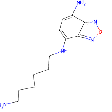 NCCCCCCNc1ccc(N)c2nonc12